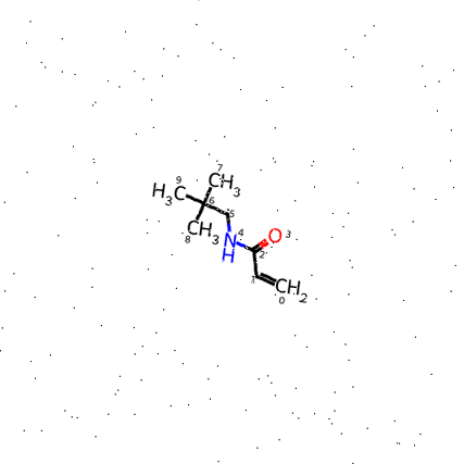 C=CC(=O)N[CH]C(C)(C)C